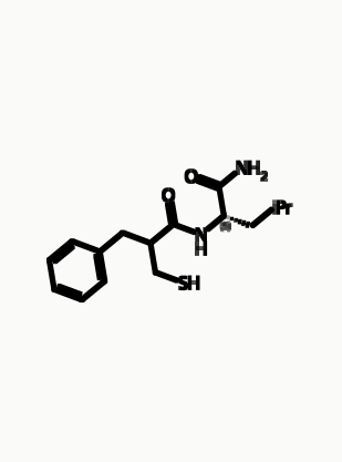 CC(C)C[C@H](NC(=O)C(CS)Cc1ccccc1)C(N)=O